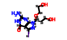 Nc1nc2c(c(I)nn2[C@@H](CCO)OCCO)c(=O)[nH]1